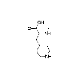 CNC(CC1CCNCC1)C(=O)O